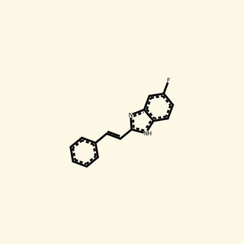 Fc1ccc2[nH]c(/C=C/c3ccccc3)nc2c1